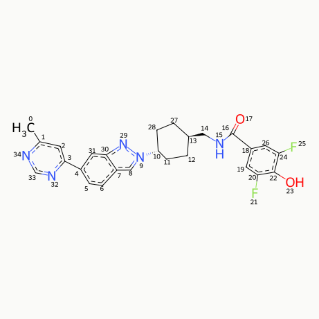 Cc1cc(-c2ccc3cn([C@H]4CC[C@H](CNC(=O)c5cc(F)c(O)c(F)c5)CC4)nc3c2)ncn1